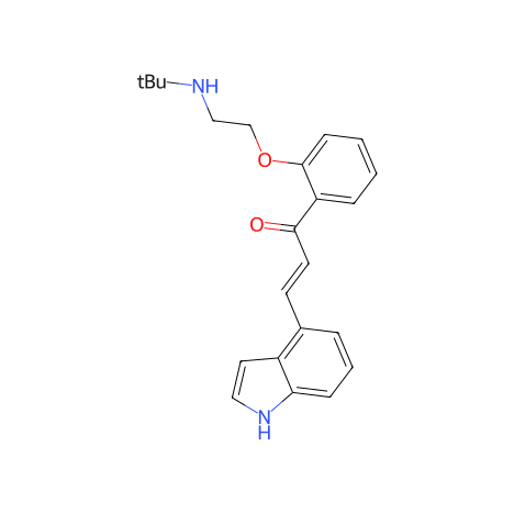 CC(C)(C)NCCOc1ccccc1C(=O)C=Cc1cccc2[nH]ccc12